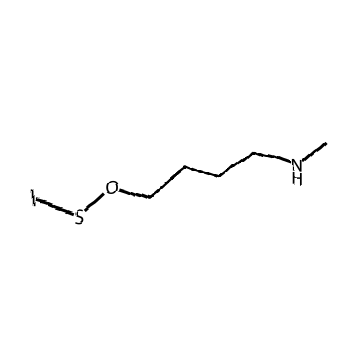 CNCCCCOSI